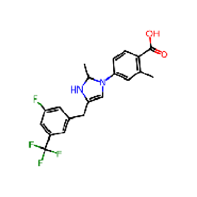 Cc1cc(N2C=C(Cc3cc(F)cc(C(F)(F)F)c3)NC2C)ccc1C(=O)O